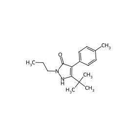 CCCn1[nH]c(C(C)(C)C)c(-c2ccc(C)cc2)c1=O